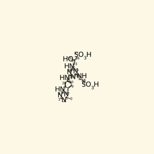 Cc1ncnc(Nc2cccc(Nc3nc(NCCS(=O)(=O)O)nc(NCC(O)CS(=O)(=O)O)n3)c2)n1